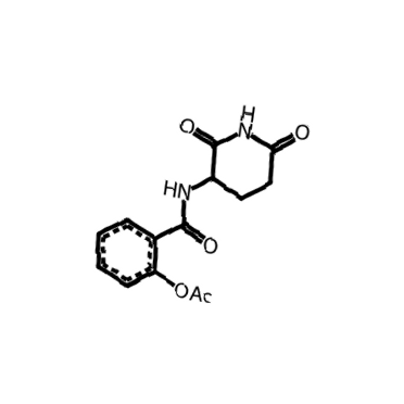 CC(=O)Oc1ccccc1C(=O)NC1CCC(=O)NC1=O